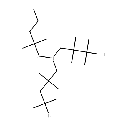 CCCC(C)(C)CN(CC(C)(C)CC(C)(C)N)CC(C)(C)C(C)(C)N